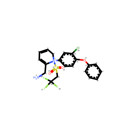 NCC1=CC=CC[N+]1(c1ccc(Oc2ccccc2)c(Cl)c1)S(=O)(=O)CC(F)(F)F